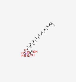 CCCCCCCCCCCCCCCCCCOC(=O)P(=O)(O)OC(O)CO